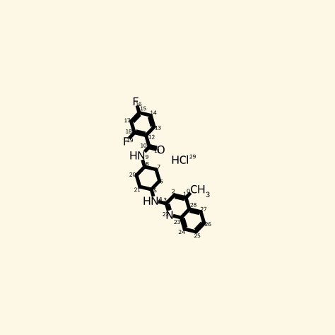 Cc1cc(NC2CCC(NC(=O)c3ccc(F)cc3F)CC2)nc2ccccc12.Cl